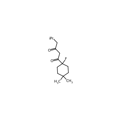 CC(C)CC(=O)CC(=O)C1(F)CCC(C)(C)CC1